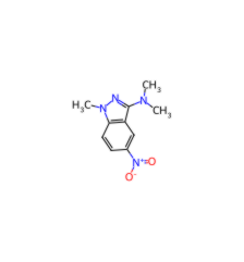 CN(C)c1nn(C)c2ccc([N+](=O)[O-])cc12